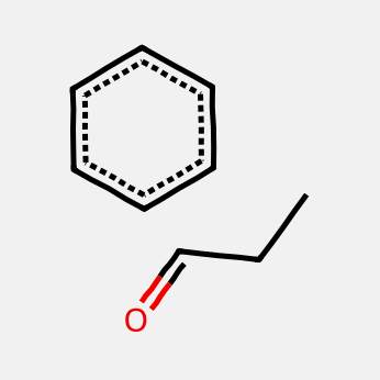 CCC=O.c1ccccc1